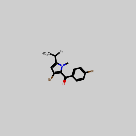 CCC(C(=O)O)c1cc(Br)c(C(=O)c2ccc(Br)cc2)n1C